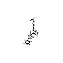 O=C(O)CCC/C=C/CC1C2CCC(C2)C1NS(=O)(=O)/C=C/c1cccc(I)c1